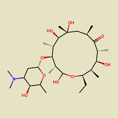 CC[C@H]1OC(O)[C@H](C)[C@@H](O[C@H]2CC(N(C)C)[C@H](O)C(C)O2)[C@H](C)[C@@H](O)[C@](C)(O)C[C@@H](C)C(=O)[C@H](C)[C@@H](O)[C@H]1C